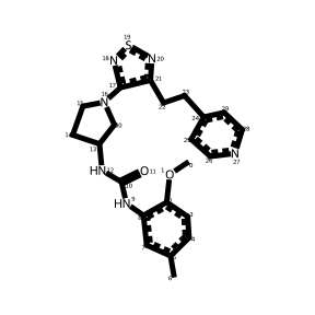 COc1ccc(C)cc1NC(=O)NC1CCN(c2nsnc2CCc2ccncc2)C1